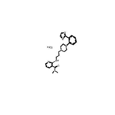 CN(C)C(=O)c1cccnc1NCCCN1CCN(c2ccccc2-c2ncco2)CC1.Cl